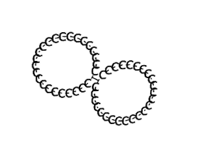 C1CCCCCCCCCCCCC(C2CCCCCCCCCCCCCCCCCCCCCCCCC2)CCCCCCCCCCCC1